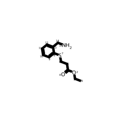 CCOC(=O)CCSc1ccccc1CN